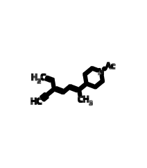 C#C/C(C=C)=C/C=C(\C)C1CCN(C(C)=O)CC1